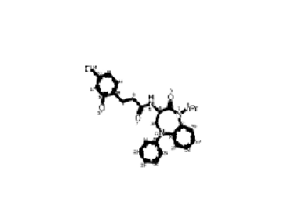 CCCN1C(=O)C(NC(=O)CCc2ccc(Cl)cc2Cl)CN(c2ccccc2)c2ccccc21